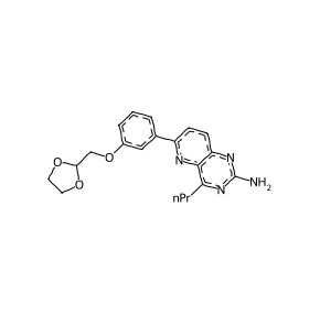 CCCc1nc(N)nc2ccc(-c3cccc(OCC4OCCO4)c3)nc12